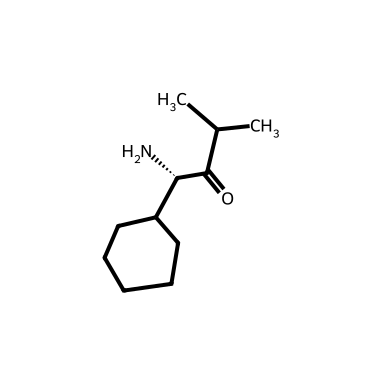 CC(C)C(=O)[C@@H](N)C1CCCCC1